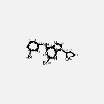 Brc1cccc(Nc2nc(Br)nc3c2ncn3C2CCCO2)c1